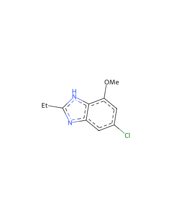 CCc1nc2cc(Cl)cc(OC)c2[nH]1